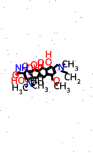 C=CCN(C)Cc1cc(COC)c2c(c1O)C(=O)C1=C(O)[C@]3(O)C(=O)C(C(N)=O)=C(O)[C@@H](N(C)C)[C@@H]3C[C@@H]1C2